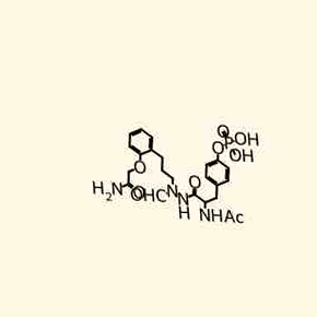 CC(=O)NC(Cc1ccc(OP(=O)(O)O)cc1)C(=O)NN(C=O)CCCc1ccccc1OCC(N)=O